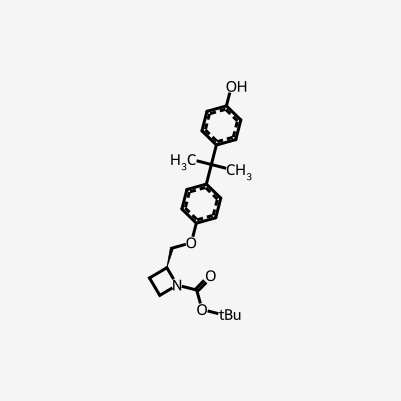 CC(C)(C)OC(=O)N1CC[C@H]1COc1ccc(C(C)(C)c2ccc(O)cc2)cc1